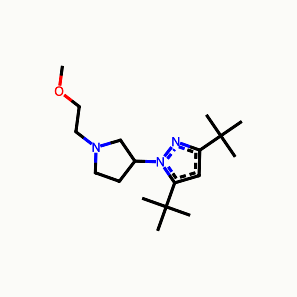 COCCN1CCC(n2nc(C(C)(C)C)cc2C(C)(C)C)C1